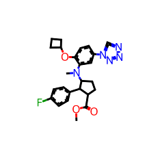 COC(=O)C1CCC(N(C)c2cc(-n3cnnn3)ccc2OC2CCC2)C1c1ccc(F)cc1